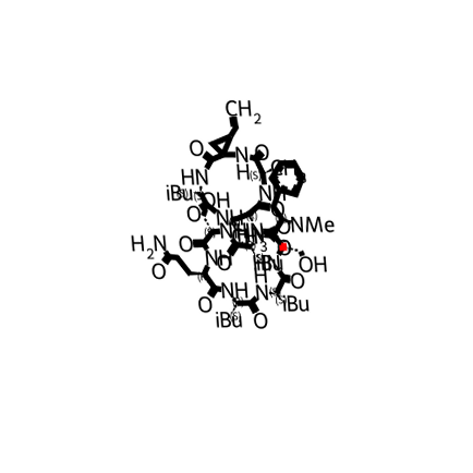 C=CC1CC12NC(=O)[C@H](C)NC(=O)[C@H](NC(=O)[C@H](CO)NC(=O)[C@@H](NC(=O)[C@H](NC(=O)[C@@H](CCC(N)=O)NC(=O)[C@H](CO)NC(=O)[C@@H](NC(=O)[C@@H](Cc1ccccc1)NC)[C@@H](C)CC)[C@@H](C)CC)[C@@H](C)CC)[C@H](C)NC(=O)[C@H]([C@@H](C)CC)NC2=O